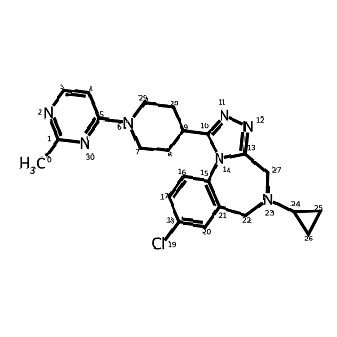 Cc1nccc(N2CCC(c3nnc4n3-c3ccc(Cl)cc3CN(C3CC3)C4)CC2)n1